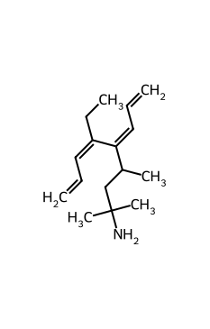 C=C/C=C(CC)\C(=C/C=C)C(C)CC(C)(C)N